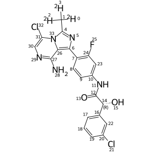 [2H]C([2H])([2H])c1nc(-c2ccc(NC(=O)[C@H](O)c3cccc(Cl)c3)cc2F)c2c(N)ncc(Cl)n12